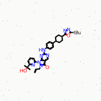 C=CCn1c(=O)c2cnc(Nc3ccc(C4CCC(c5nnc(C(C)(C)C)o5)CC4)cc3)nc2n1-c1cccc(C(C)(C)O)n1